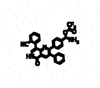 N#Cc1ccccc1-c1c[nH]c(=O)c2cc(-c3ccccc3)c(-c3ccc(C(N)OC(=O)C(F)(F)F)cc3)nc12